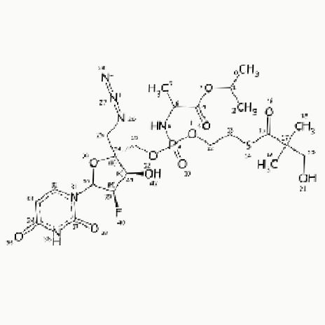 CC(C)OC(=O)C(C)NP(=O)(OCCSC(=O)C(C)(C)CO)OC[C@@]1(CN=[N+]=[N-])OC(n2ccc(=O)[nH]c2=O)[C@H](F)[C@@H]1O